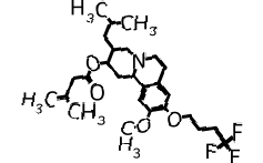 COc1cc2c(cc1OCCCC(F)(F)F)CCN1CC(CC(C)C)C(OC(=O)CC(C)C)CC21